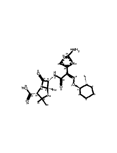 C[C@@H]1CCCC[C@H]1O/N=C(\C(=O)N[C@H]1C(=O)N2[C@@H]1SC(C)(C)[C@@H]2C(=O)O)c1csc(N)n1